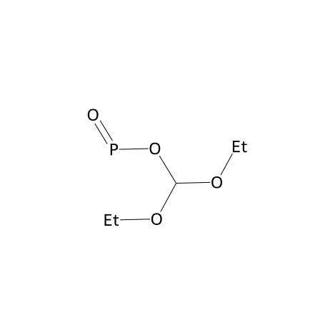 CCOC(OCC)OP=O